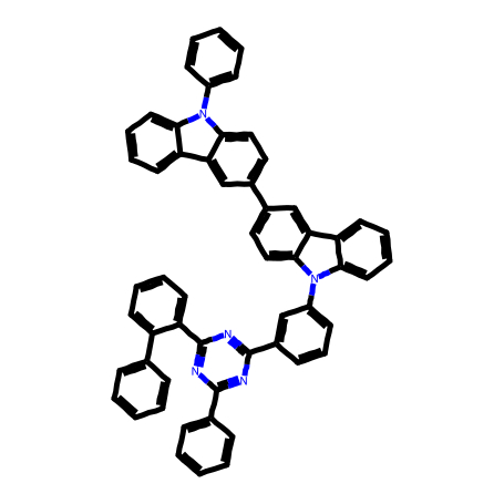 c1ccc(-c2nc(-c3cccc(-n4c5ccccc5c5cc(-c6ccc7c(c6)c6ccccc6n7-c6ccccc6)ccc54)c3)nc(-c3ccccc3-c3ccccc3)n2)cc1